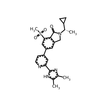 Cc1nc(-c2cc(-c3cc4c(c(S(C)(=O)=O)c3)C(=O)N([C@@H](C)C3CC3)C4)ccn2)[nH]c1C